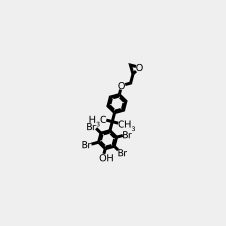 CC(C)(c1ccc(OCC2CO2)cc1)c1c(Br)c(Br)c(O)c(Br)c1Br